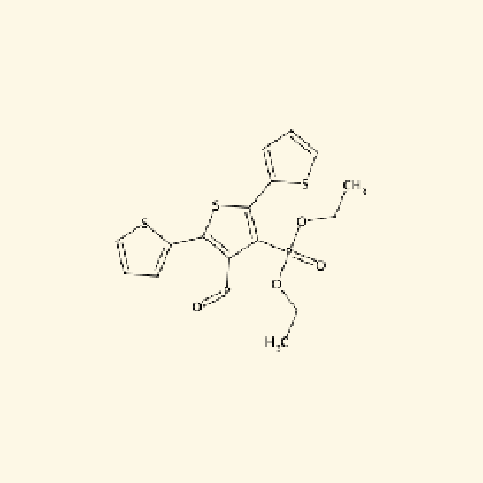 CCOP(=O)(OCC)c1c(-c2cccs2)sc(-c2cccs2)c1P=O